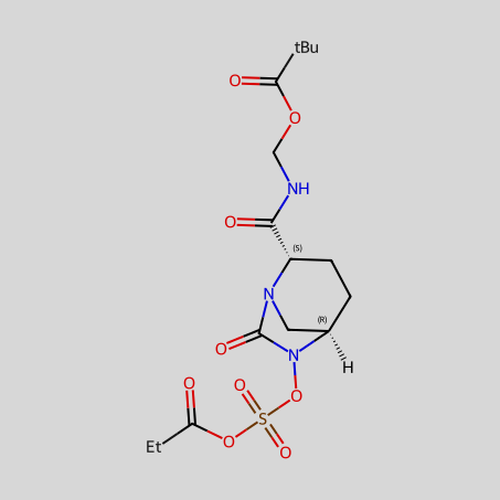 CCC(=O)OS(=O)(=O)ON1C(=O)N2C[C@H]1CC[C@H]2C(=O)NCOC(=O)C(C)(C)C